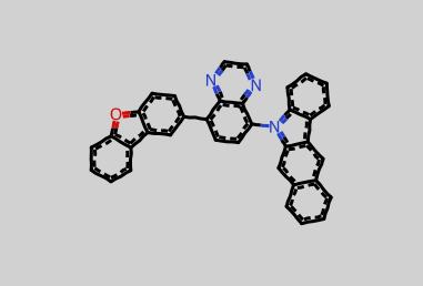 c1ccc2cc3c(cc2c1)c1ccccc1n3-c1ccc(-c2ccc3oc4ccccc4c3c2)c2nccnc12